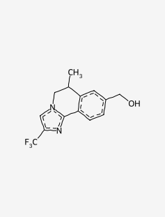 CC1Cn2cc(C(F)(F)F)nc2-c2ccc(CO)cc21